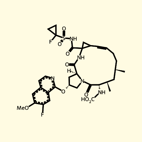 COc1cc2ccnc(O[C@@H]3C[C@H]4C(=O)NC5(C(=O)NS(=O)(=O)C6(F)CC6)CC5/C=C\CC[C@@H](C)C[C@@H](C)[C@H](NC(=O)O)C(=O)N4C3)c2cc1F